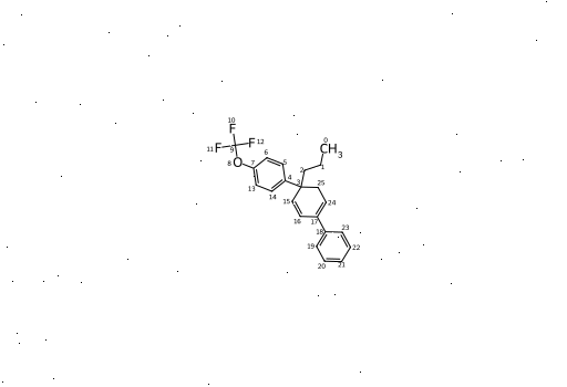 CCCC1(c2ccc(OC(F)(F)F)cc2)C=CC(c2ccccc2)=CC1